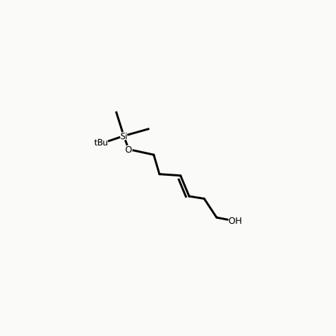 CC(C)(C)[Si](C)(C)OCC/C=C/CCO